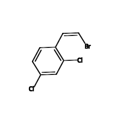 Clc1ccc(/C=C\Br)c(Cl)c1